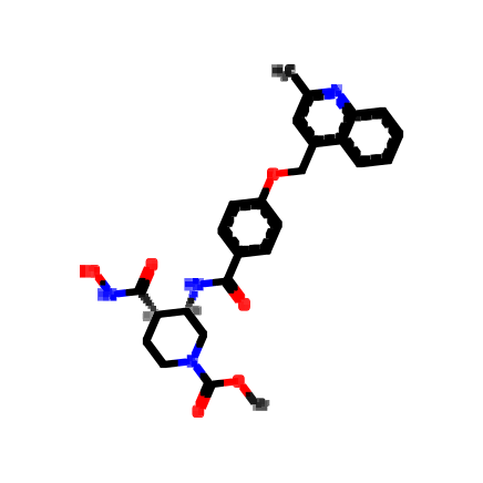 Cc1cc(COc2ccc(C(=O)N[C@@H]3CN(C(=O)OC(C)C)CC[C@@H]3C(=O)NO)cc2)c2ccccc2n1